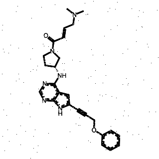 CN(C)C/C=C/C(=O)N1CC[C@@H](Nc2ncnc3[nH]c(C#CCOc4ccccc4)cc23)C1